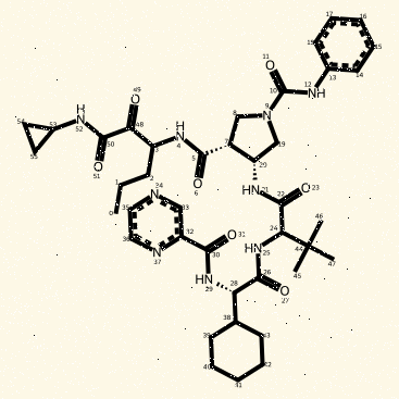 CCCC(NC(=O)[C@@H]1CN(C(=O)Nc2ccccc2)C[C@@H]1NC(=O)C(NC(=O)[C@@H](NC(=O)c1cnccn1)C1CCCCC1)C(C)(C)C)C(=O)C(=O)NC1CC1